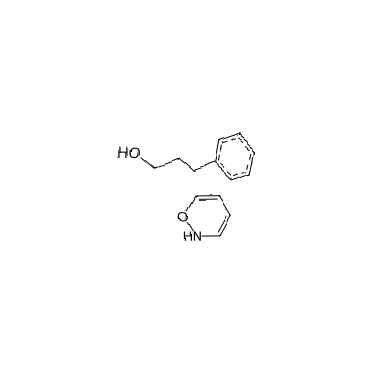 C1=CNOC=C1.OCCCc1ccccc1